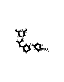 CC(Cc1cccc(Oc2ccc([N+](=O)[O-])cc2)c1)CN1CC(C)OC(C)C1